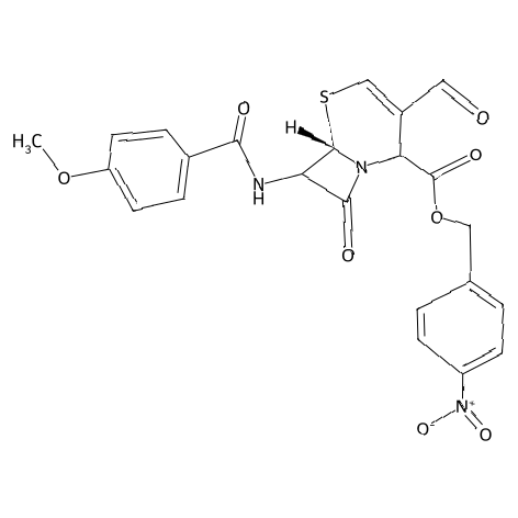 COc1ccc(C(=O)NC2C(=O)N3C(C(=O)OCc4ccc([N+](=O)[O-])cc4)C(C=O)=CS[C@@H]23)cc1